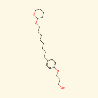 OCCCOc1ccc(CCCCCCCCOC2CCCCO2)cc1